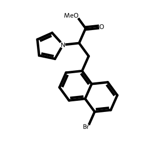 COC(=O)C(Cc1cccc2c(Br)cccc12)n1cccc1